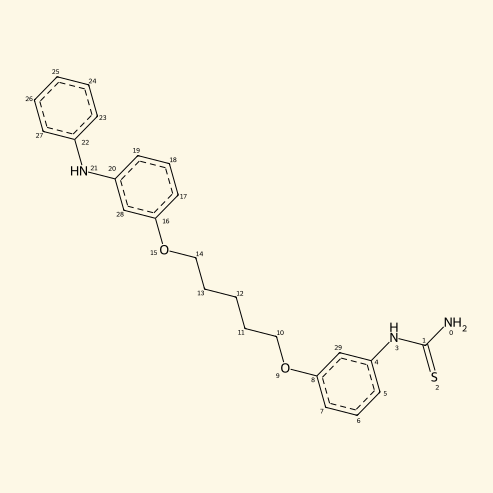 NC(=S)Nc1cccc(OCCCCCOc2cccc(Nc3ccccc3)c2)c1